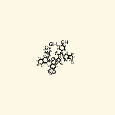 Cc1cc(C(=O)N(c2ccc(O)cc2)c2cnc3c(ccn3C)c2)cn1-c1cc2c(cc1C(=O)N1Cc3ccccc3C[C@H]1CN1CCOCC1)OCO2.Cl